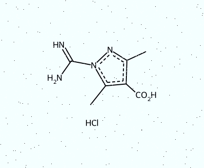 Cc1nn(C(=N)N)c(C)c1C(=O)O.Cl